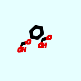 O=CO.O=CO.c1ccccc1